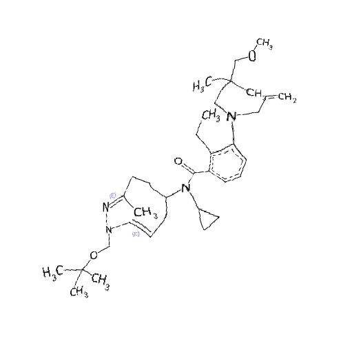 C=CCN(CC(C)(C)COC)c1cccc(C(=O)N(C2C/C=C/N(COC(C)(C)C)/N=C(\C)CC2)C2CC2)c1CC